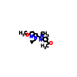 COc1ccc2cc(-c3nc4cc(C(C)=O)ccc4n3C)n(CC3CC3)c2n1